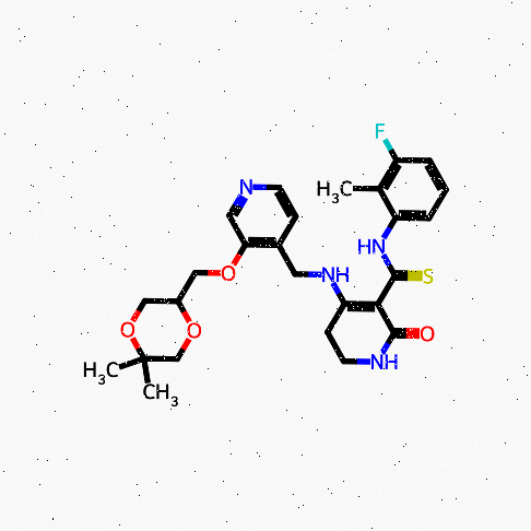 Cc1c(F)cccc1NC(=S)C1=C(NCc2ccncc2OCC2COC(C)(C)CO2)CCNC1=O